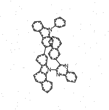 c1ccc(-n2c3ccccc3c3cc(-c4ccc5c6ccc7ccccc7c6n(-c6nc7ccccc7nc6-c6ccc7ccccc7c6)c5c4)ccc32)cc1